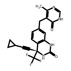 Cc1nc[nH]c(=O)c1Cc1ccc2c(c1)NC(=O)N[C@]2(C#CC1CC1)C(F)(F)F